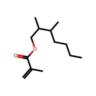 C=C(C)C(=O)OCC(C)C(C)CCCC